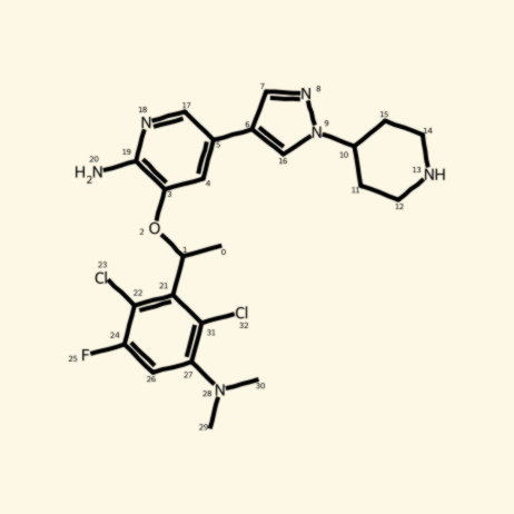 CC(Oc1cc(-c2cnn(C3CCNCC3)c2)cnc1N)c1c(Cl)c(F)cc(N(C)C)c1Cl